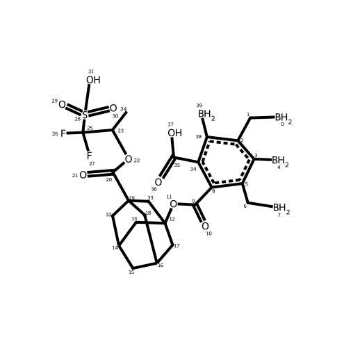 BCc1c(B)c(CB)c(C(=O)OC23CC4CC(C2)CC(C(=O)OC(C)C(F)(F)S(=O)(=O)O)(C4)C3)c(C(=O)O)c1B